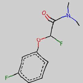 CN(C)C(=O)C(F)Oc1cccc(F)c1